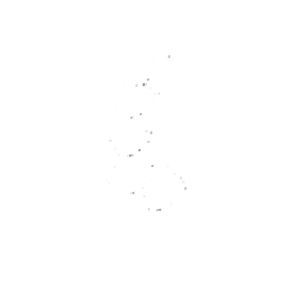 CSc1ccc2cc3ccc4ccccc4c3cc2c1